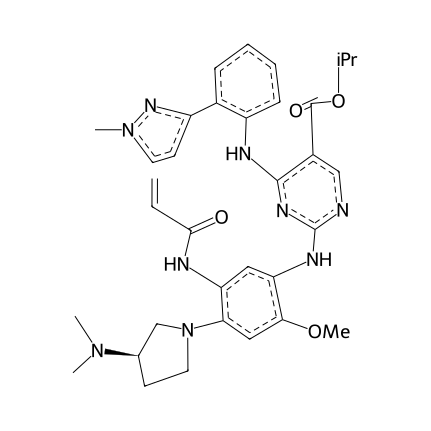 C=CC(=O)Nc1cc(Nc2ncc(C(=O)OC(C)C)c(Nc3ccccc3-c3ccn(C)n3)n2)c(OC)cc1N1CC[C@@H](N(C)C)C1